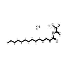 CCCCCCCCCCCCCC(=O)OC(=O)[C@H](C)N.[KH]